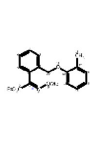 CCOC(=O)/C(=N/OC)c1ccccc1COc1ccccc1C